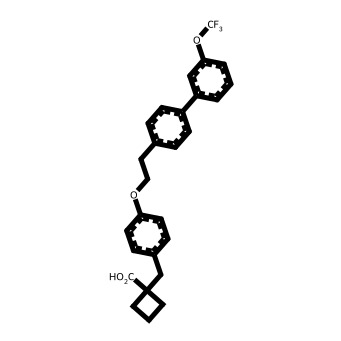 O=C(O)C1(Cc2ccc(OCCc3ccc(-c4cccc(OC(F)(F)F)c4)cc3)cc2)CCC1